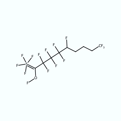 FOC(C(F)(F)C(F)(F)C(F)(F)C(F)CCCC(F)(F)F)=S(F)(F)(F)F